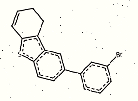 Brc1cccc(-c2ccc3sc4c(c3c2)CCC=C4)c1